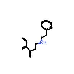 C=CC(=C)C(=C)CCNCCc1ccccc1